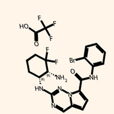 N[C@@H]1[C@H](Nc2ncc3ccc(C(=O)Nc4ccccc4Br)n3n2)CCCC1(F)F.O=C(O)C(F)(F)F